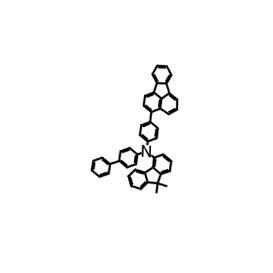 CC1(C)c2ccccc2-c2c(N(c3ccc(-c4ccccc4)cc3)c3ccc(-c4ccc5c6c(cccc46)-c4ccccc4-5)cc3)cccc21